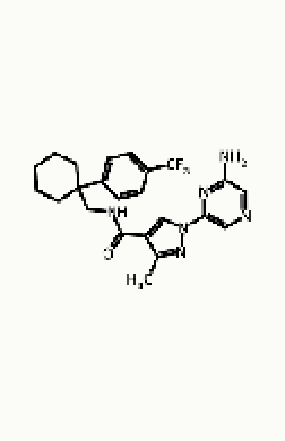 Cc1nn(-c2cncc(N)n2)cc1C(=O)NCC1(c2ccc(C(F)(F)F)cc2)CCCCC1